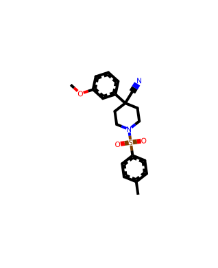 COc1cccc(C2(C#N)CCN(S(=O)(=O)c3ccc(C)cc3)CC2)c1